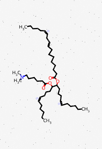 CCCCC/C=C\CC=CCCCCCCCC(=O)OC(CCC/C=C\CCCCC)C(CCC/C=C\CCCCC)OC(=O)CCCCCN(C)C